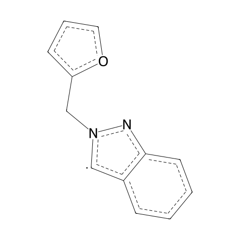 [c]1c2ccccc2nn1Cc1ccco1